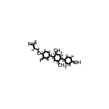 Cc1cc(-c2ccc(OCC=C(F)F)c(F)c2)c(C)cc1-c1ccc(O)cc1